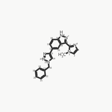 Cn1ccnc1-c1n[nH]c2ccc(-c3cn(Cc4ccccc4)nn3)cc12